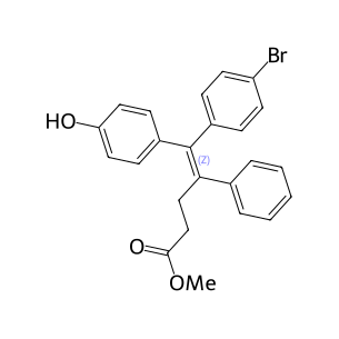 COC(=O)CC/C(=C(\c1ccc(O)cc1)c1ccc(Br)cc1)c1ccccc1